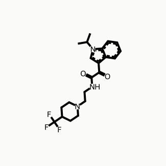 CC(C)n1cc(C(=O)C(=O)NCCN2CCC(C(F)(F)F)CC2)c2ccccc21